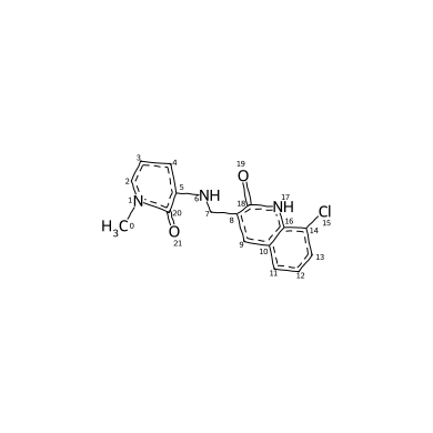 Cn1cccc(NCc2cc3cccc(Cl)c3[nH]c2=O)c1=O